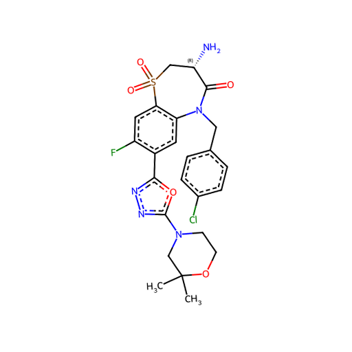 CC1(C)CN(c2nnc(-c3cc4c(cc3F)S(=O)(=O)C[C@H](N)C(=O)N4Cc3ccc(Cl)cc3)o2)CCO1